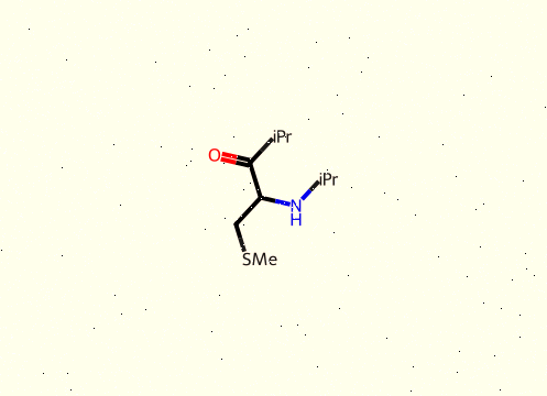 CSCC(NC(C)C)C(=O)C(C)C